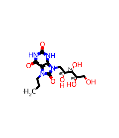 [CH2]CCn1c(=O)n(C[C@@H](O)[C@H](O)[C@H](O)CO)c2[nH]c(=O)[nH]c(=O)c21